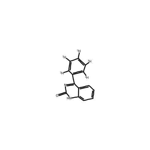 [2H]c1c([2H])c([2H])c(-c2nc(=O)[nH]c3ccccc23)c([2H])c1[2H]